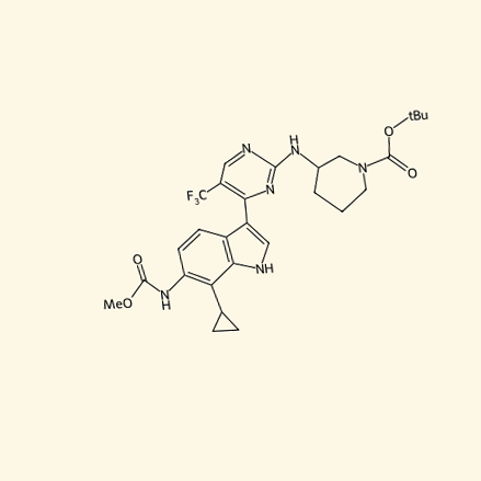 COC(=O)Nc1ccc2c(-c3nc(NC4CCCN(C(=O)OC(C)(C)C)C4)ncc3C(F)(F)F)c[nH]c2c1C1CC1